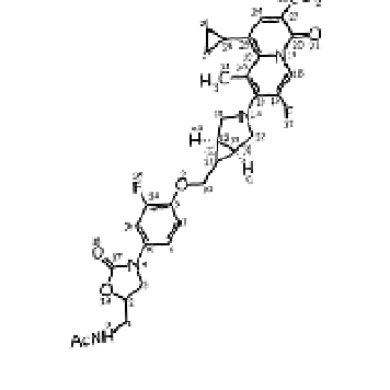 CC(=O)NCC1CN(c2ccc(OCC3[C@H]4CN(c5c(F)cn6c(=O)c(C(=O)O)cc(C7CC7)c6c5C)C[C@@H]34)c(F)c2)C(=O)O1